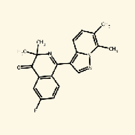 Cc1ccc2c(C3=NC(C)(C)C(=O)c4cc(F)ccc43)cnn2c1C